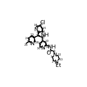 CCN1CCN(CC(=O)Nc2cc(-c3[nH]c4cc(Cl)cnc4c3-c3ccc(C)nc3)ccn2)CC1